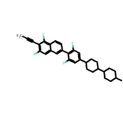 CC1CCC(C2CCC(c3cc(F)c(-c4ccc5c(F)c(C#CC(F)(F)F)c(F)cc5c4)c(F)c3)CC2)CC1